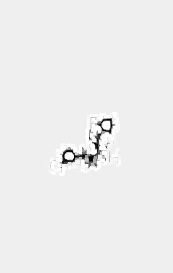 Cn1c(-c2ccccc2F)nnc1C(S)c1noc(-c2cccc(Cl)c2)n1